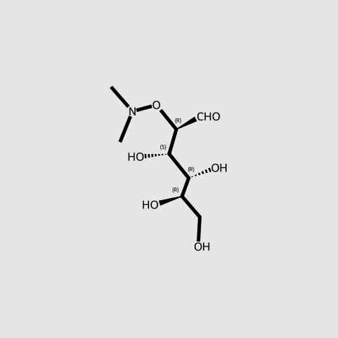 CN(C)O[C@@H](C=O)[C@@H](O)[C@H](O)[C@H](O)CO